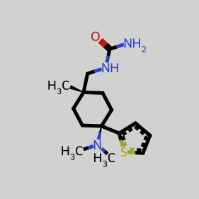 CN(C)[C@]1(c2cccs2)CC[C@@](C)(CNC(N)=O)CC1